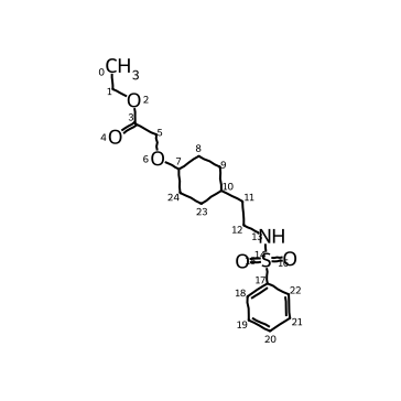 CCOC(=O)COC1CCC(CCNS(=O)(=O)c2ccccc2)CC1